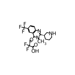 Cn1c([C@@H]2CCCNC2)nc2ccc(C(F)(F)F)cc2c1=O.O=C(O)C(F)(F)F